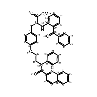 COC(=O)[C@H](Cc1ccc(OCCN(C(=O)c2ccc3ccccc3n2)c2ccccc2)cc1)Nc1ccccc1C(=O)c1ccccc1